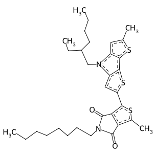 CCCCCCCCN1C(=O)c2c(C)sc(-c3cc4c(s3)c3sc(C)cc3n4CC(CC)CCCC)c2C1=O